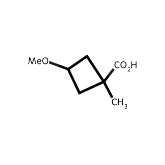 COC1CC(C)(C(=O)O)C1